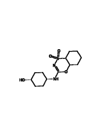 O=S1(=O)N=C(N[C@H]2CC[C@@H](O)CC2)OC2CCCCC21